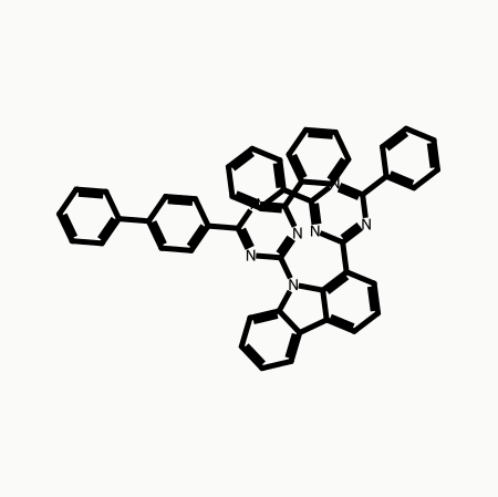 c1ccc(-c2ccc(-c3nc(-c4ccccc4)nc(-n4c5ccccc5c5cccc(-c6nc(-c7ccccc7)nc(-c7ccccc7)n6)c54)n3)cc2)cc1